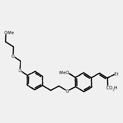 CCC(=Cc1ccc(OCCc2ccc(OCOCCOC)cc2)c(OC)c1)C(=O)O